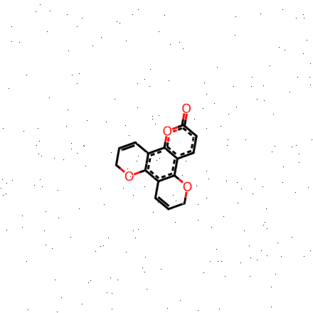 O=c1ccc2c3c(c4c(c2o1)C=CCO4)C=CCO3